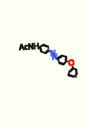 CC(=O)Nc1ccc(/N=N/c2ccc(Oc3cc[c]cc3)cc2)cc1